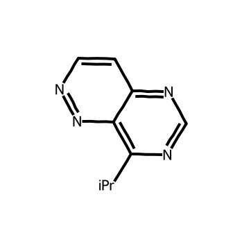 CC(C)c1ncnc2ccnnc12